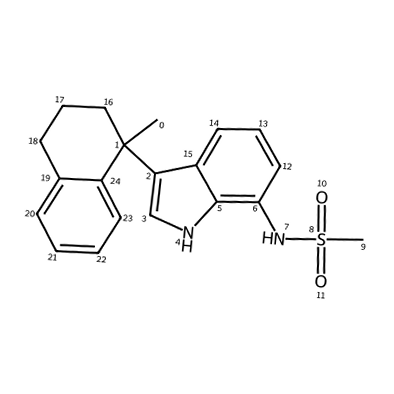 CC1(c2c[nH]c3c(NS(C)(=O)=O)cccc23)CCCc2ccccc21